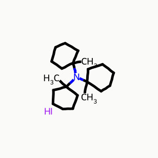 CC1(N(C2(C)CCCCC2)C2(C)CCCCC2)CCCCC1.I